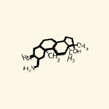 C[C@]12C/C(=C/N)C(=N)CC1CCC1C2CC[C@@]2(C)C1CC[C@]2(C)O